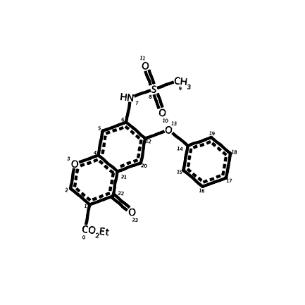 CCOC(=O)c1coc2cc(NS(C)(=O)=O)c(Oc3ccccc3)cc2c1=O